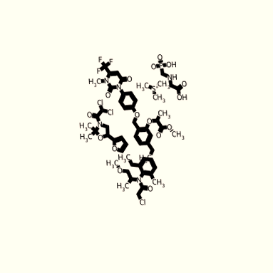 CC1(C)OC(c2ccco2)CN1C(=O)C(Cl)Cl.CCc1ccc(COc2ccc(-n3c(=O)cc(C(F)(F)F)n(C)c3=O)cc2)c(OC(C)C(=O)OC)c1.CCc1cccc(C)c1N(C(=O)CCl)C(C)COC.C[S+](C)C.O=C(O)CNCP(=O)([O-])O